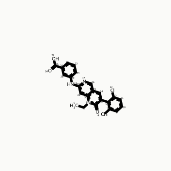 CCn1c(=O)c(-c2c(Cl)cccc2Cl)cc2cnc(Nc3cccc(C(=O)O)c3)cc21